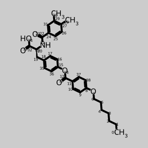 CCCCCCCOc1ccc(C(=O)Oc2ccc(C[C@H](NC(=O)c3ccc(C)c(C)c3)C(=O)O)cc2)cc1